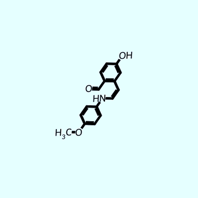 COc1ccc(N/C=C\c2cc(O)ccc2C=O)cc1